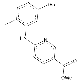 COC(=O)c1ccc(Nc2cc(C(C)(C)C)ccc2C)nc1